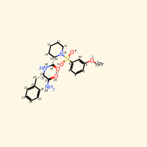 CCCOc1cccc(S(=O)(=O)N2CCCC[C@H]2C(=O)N[C@@H](Cc2ccccc2)C(N)=O)c1